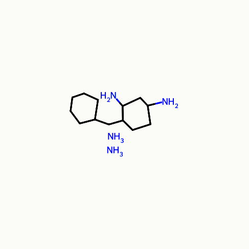 N.N.NC1CCC(CC2CCCCC2)C(N)C1